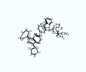 CC(C)(C)OC(=O)N[C@@H]1c2ccccc2OC12CCN(c1cnc3c(N4CCCCC4)nn(C4CCCCO4)c3n1)CC2